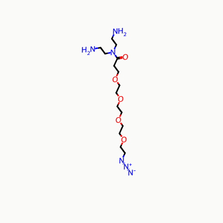 [N-]=[N+]=NCCOCCOCCOCCOCCC(=O)N(CCN)CCN